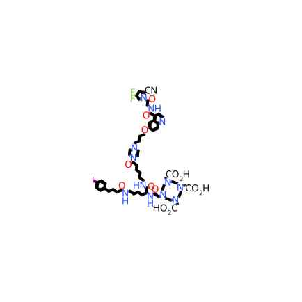 N#C[C@H]1CC(F)(F)CN1C(=O)CNC(=O)c1ccnc2ccc(OCCCCN3CCN(C(=O)CCCCCNC(=O)C(CCCCNC(=O)CCCc4ccc(I)cc4)NC(=O)CN4CCN(CC(=O)O)CCN(CC(=O)O)CCN(CC(=O)O)CC4)CC3)cc12